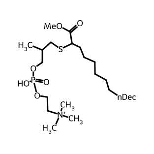 CCCCCCCCCCCCCCCCC(SCC(C)COP(=O)(O)OCC[N+](C)(C)C)C(=O)OC